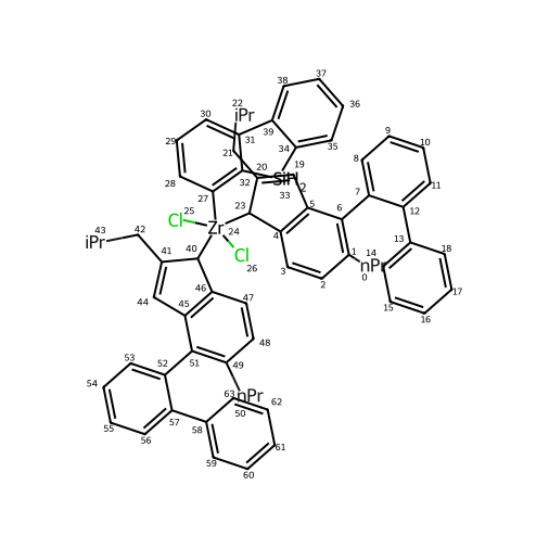 CCCc1ccc2c(c1-c1ccccc1-c1ccccc1)C=C(CC(C)C)[CH]2[Zr]([Cl])([Cl])([c]1cccc2c1[SiH2]c1ccccc1-2)[CH]1C(CC(C)C)=Cc2c1ccc(CCC)c2-c1ccccc1-c1ccccc1